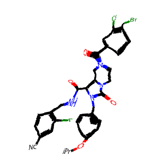 CC(C)Oc1ccc(-n2c(C(=O)NCc3ccc(C#N)cc3F)c3n(c2=O)CCN(C(=O)c2ccc(Br)c(Cl)c2)C3)cc1